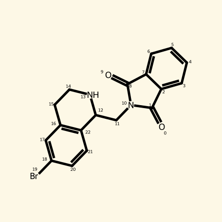 O=C1c2ccccc2C(=O)N1CC1NCCc2cc(Br)ccc21